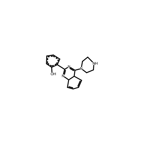 Oc1ccccc1C1=NC2C=CC=CC2C(N2CCNCC2)=N1